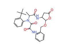 CC(C(=O)NC1CC(=O)OC1OCc1ccccc1)N(C(=O)C(N)=O)c1ccccc1C(C)(C)C